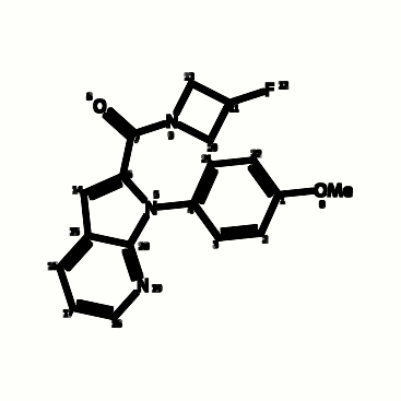 COc1ccc(-n2c(C(=O)N3CC(F)C3)cc3cccnc32)cc1